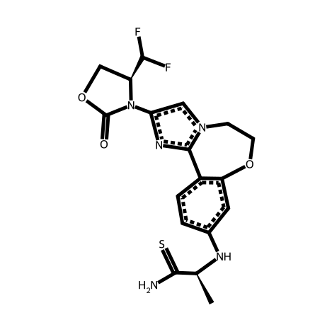 C[C@H](Nc1ccc2c(c1)OCCn1cc(N3C(=O)OC[C@H]3C(F)F)nc1-2)C(N)=S